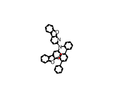 c1ccc(-c2ccc(-c3ccccc3N(c3cnc4oc5ccccc5c4c3)c3ccc4c(n3)oc3ccccc34)cc2)cc1